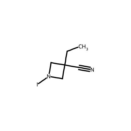 CCC1(C#N)CN(I)C1